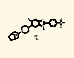 Cl.Cl.Cn1c(-c2ccc(S(C)(=O)=O)cc2)nc2cc(F)c(C3CCN(C4CC5CCC(C4)N5)CC3)cc21